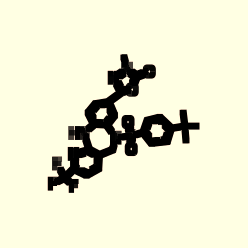 Cn1nc(-c2ccc3c(c2)N(S(=O)(=O)c2ccc(C(C)(C)C)cc2)Cc2ccc(C(F)(F)F)nc2N3)oc1=O